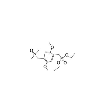 CCOP(=O)(Cc1cc(OC)c(CP(C)(C)=O)cc1OC)OCC